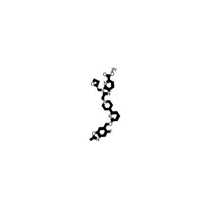 Cc1nc2cc(F)c(COc3cccc(C4CCN(Cc5nc6ccc(C(=O)OC(C)C)nc6n5C[C@@H]5CCO5)CC4)n3)cc2o1